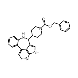 O=C(OCc1ccccc1)N1CCC(C2Nc3ccccc3-c3ccnc4[nH]cc2c34)CC1